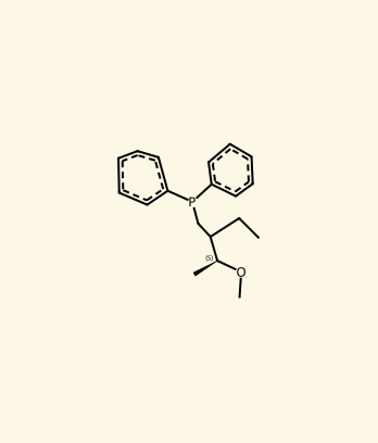 CCC(CP(c1ccccc1)c1ccccc1)[C@H](C)OC